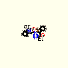 CCNC(=O)c1c(NC(=O)Cn2nc(C(F)(F)F)c3c2CCCC3)sc2c1CCCC2